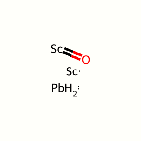 [O]=[Sc].[PbH2].[Sc]